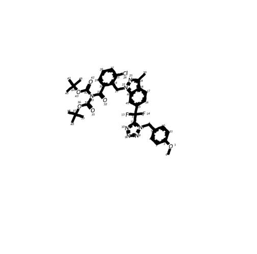 COc1ccc(Cn2nnnc2C(F)(F)c2ccc3c(C)nn(Cc4c(Cl)cccc4C(=O)N(C(=O)OC(C)(C)C)C(=O)OC(C)(C)C)c3c2)cc1